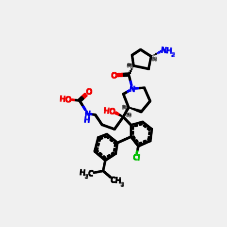 CC(C)c1cccc(-c2c(Cl)cccc2[C@](O)(CCCNC(=O)O)[C@@H]2CCCN(C(=O)[C@@H]3CC[C@H](N)C3)C2)c1